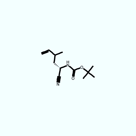 C=CC(C)C[C@@H](C#N)NC(=O)OC(C)(C)C